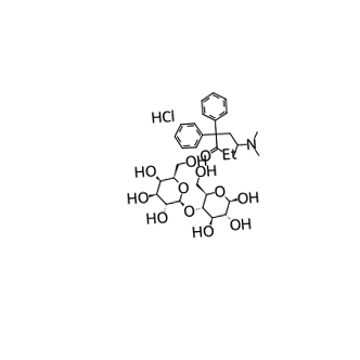 CCC(=O)C(CC(C)N(C)C)(c1ccccc1)c1ccccc1.Cl.OC[C@H]1O[C@@H](O[C@H]2[C@H](O)[C@@H](O)[C@H](O)O[C@@H]2CO)[C@H](O)[C@@H](O)[C@H]1O